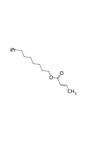 CC=CC(=O)OCCCCCCCC(C)C